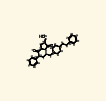 CN1CC(C(=O)N(CCCN2CCC(CCc3ccccc3)CC2)c2ccccc2)CC1=O.Cl